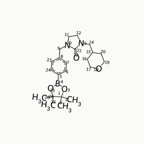 CC1(C)OB(c2ccc(CN3CCN(CC4CCOCC4)C3=O)cc2)OC1(C)C